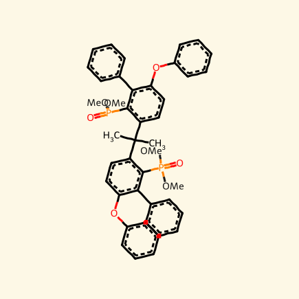 COP(=O)(OC)c1c(C(C)(C)c2ccc(Oc3ccccc3)c(-c3ccccc3)c2P(=O)(OC)OC)ccc(Oc2ccccc2)c1-c1ccccc1